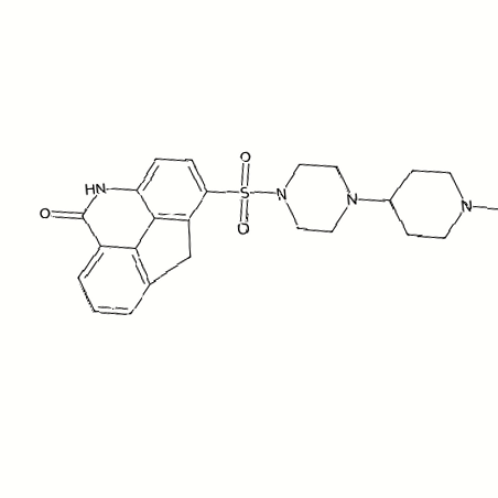 CN1CCC(N2CCN(S(=O)(=O)c3ccc4[nH]c(=O)c5cccc6c5c4c3C6)CC2)CC1